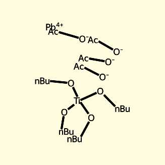 CC(=O)[O-].CC(=O)[O-].CC(=O)[O-].CC(=O)[O-].CCCC[O][Ti]([O]CCCC)([O]CCCC)[O]CCCC.[Pb+4]